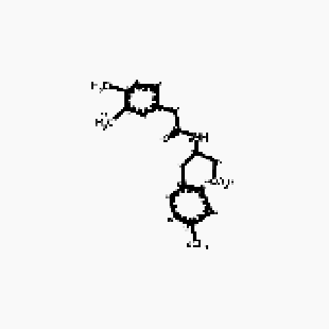 Cc1ccc(CC(=O)NC(CC(=O)O)Cc2ccc(C(F)(F)F)cc2)cc1C